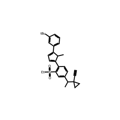 C#CC1(C(C)c2ccc(C3=CC=C(c4cccc(C(C)(C)C)c4)C3C)c(S(=O)(=O)CC)c2)CC1